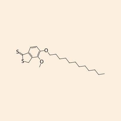 CCCCCCCCCCCCOc1ccc2c(c1OC)CSC2=S